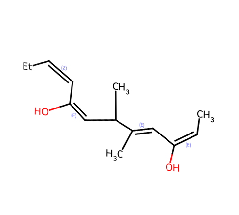 C/C=C(O)\C=C(/C)C(C)/C=C(O)\C=C/CC